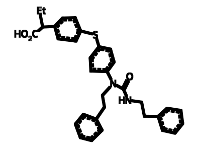 CCC(C(=O)O)c1ccc(Sc2ccc(N(CCc3ccccc3)C(=O)NCCc3ccccc3)cc2)cc1